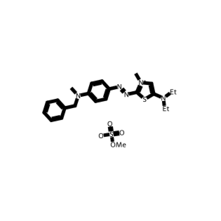 CCN(CC)c1c[n+](C)c(N=Nc2ccc(N(C)Cc3ccccc3)cc2)s1.COS(=O)(=O)[O-]